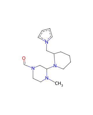 CN1CCN(C=O)CC1N1CCCCC1Cn1cccc1